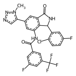 Cn1nncc1-c1cc(NC(=O)c2cc(F)cc(C(F)(F)F)c2)c2c(c1)C(=O)NC2c1cc(F)ccc1Cl